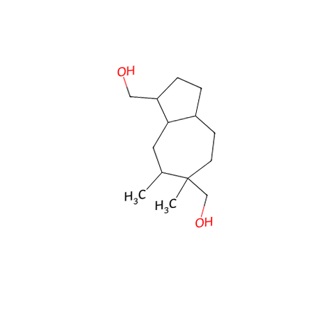 CC1CC2C(CO)CCC2CCC1(C)CO